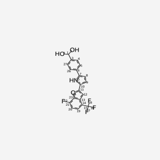 OC(O)c1ccc(-c2ccc(-c3cc4c(C(F)(F)F)ccc(F)c4o3)[nH]2)cc1